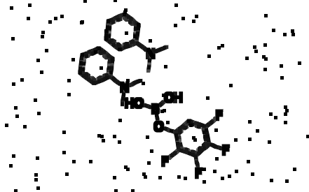 CN(C)c1ccccc1.CN(C)c1ccccc1.OB(O)Oc1cc(F)c(F)c(F)c1F